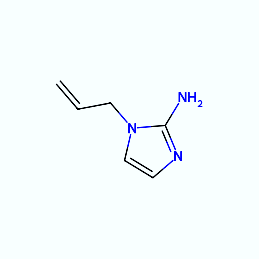 C=CCn1ccnc1N